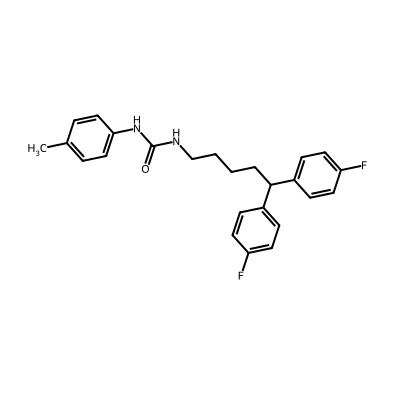 Cc1ccc(NC(=O)NCCCCC(c2ccc(F)cc2)c2ccc(F)cc2)cc1